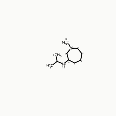 CC(C)NC1CCCCN(C)C1